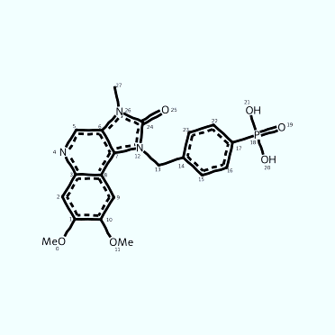 COc1cc2ncc3c(c2cc1OC)n(Cc1ccc(P(=O)(O)O)cc1)c(=O)n3C